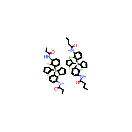 CCC(=O)Nc1ccc(F)[c]([Ti]([C]2=CC=CC2)([C]2=CC=CC2)[c]2c(F)ccc(NC(=O)CC)c2F)c1F.CCCC(=O)Nc1ccc(F)[c]([Ti]([C]2=CC=CC2)([C]2=CC=CC2)[c]2c(F)ccc(NC(=O)CCC)c2F)c1F